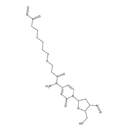 NN(C(=O)CCSSCCCCCC(=O)N=O)c1ccn(C2CC(N=O)C(CO)O2)c(=O)n1